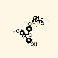 CN(CCOc1ccc(C(=O)c2c(-c3ccc(O)cc3)sc3cc(O)ccc23)cc1)CCP(C)(C)=O